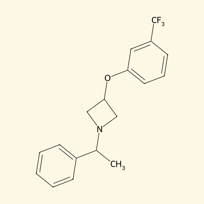 CC(c1ccccc1)N1CC(Oc2cccc(C(F)(F)F)c2)C1